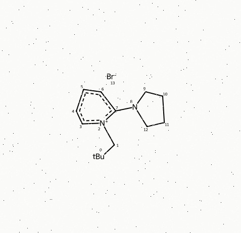 CC(C)(C)C[n+]1ccccc1N1CCCC1.[Br-]